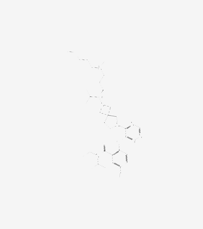 CCN(C(=O)c1cc(F)ccc1Oc1nncnc1N1CCC2(C1)CN([C@H](CCCN(C)CCCOC)C(C)C)C2)C(C)C